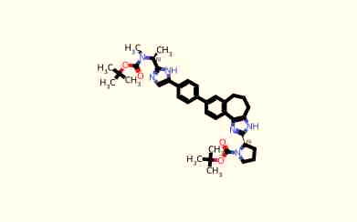 C[C@@H](c1ncc(-c2ccc(-c3ccc4c(c3)CCCc3[nH]c([C@@H]5CCCN5C(=O)OC(C)(C)C)nc3-4)cc2)[nH]1)N(C)C(=O)OC(C)(C)C